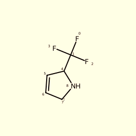 FC(F)(F)C1C=C[C]N1